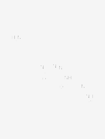 CC(C)Nc1ccc(C(=O)Nc2cc(C(=O)N3CCC(c4ccc(N)cc4)CC3)nn2C)cn1